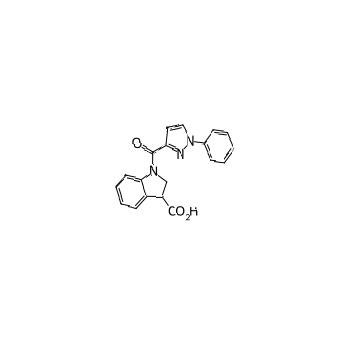 O=C(O)C1CN(C(=O)c2ccn(-c3ccccc3)n2)c2ccccc21